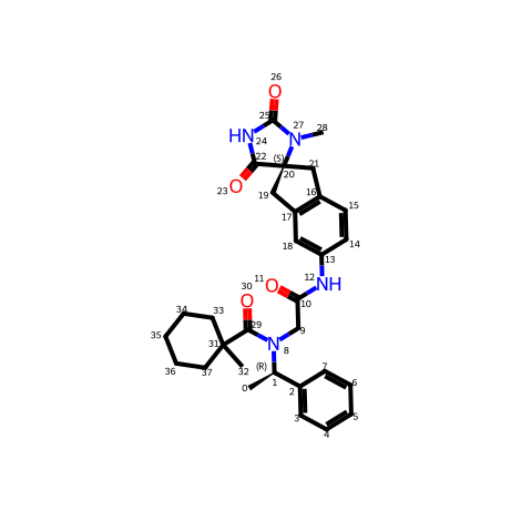 C[C@H](c1ccccc1)N(CC(=O)Nc1ccc2c(c1)C[C@@]1(C2)C(=O)NC(=O)N1C)C(=O)C1(C)CCCCC1